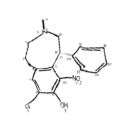 CN1CCc2cc(Cl)c(O)c([N+](=O)[O-])c2[C@@H](c2ccccc2)C1